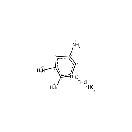 Cl.Cl.Cl.Nc1cnc(N)c(N)c1